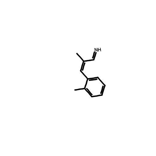 C/C(C=N)=C/c1ccccc1C